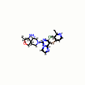 Cc1nccc(Sc2cnc(N3CCC4(CC3)CO[C@@H](C)[C@H]4N)n3ccnc23)c1Cl